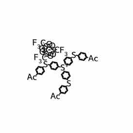 CC(=O)c1ccc(Sc2ccc([S+](c3ccc(Sc4ccc(C(C)=O)cc4)cc3)c3ccc(Sc4ccc(C(C)=O)cc4)cc3)cc2)cc1.O=S(=O)([C-](S(=O)(=O)C(F)(F)F)S(=O)(=O)C(F)(F)F)C(F)(F)F